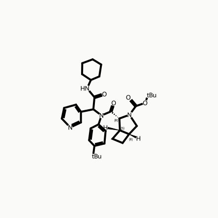 CC(C)(C)OC(=O)N1C[C@@H]2CC[C@@H]2[C@@H]1C(=O)N(c1ccc(C(C)(C)C)cc1)C(C(=O)NC1CCCCC1)c1cccnc1